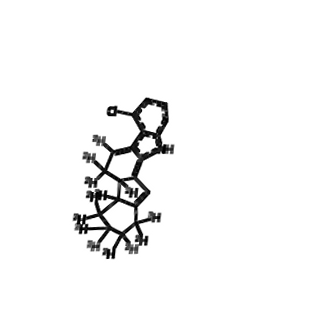 [2H]C1=c2c([nH]c3cccc(Cl)c23)=C2C=C3C([2H])([2H])C([2H])([2H])C([2H])([2H])C([2H])([2H])C3([2H])C2([2H])C1([2H])[2H]